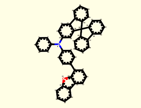 c1ccc(N(c2ccc(-c3cccc4c3oc3ccccc34)cc2)c2ccc3c(c2)C2(c4ccccc4-c4ccccc42)c2ccccc2-3)cc1